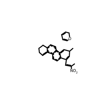 C1=CCOC=C1.CC(=CC1=CC(C)C=c2c1ccc1c3c(ccc21)CCCC=3)[N+](=O)[O-]